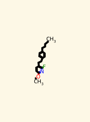 CCCCCc1ccc(CCc2ccc(OCC)nc2F)cc1